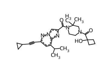 CC(C)c1cc(C#CC2CC2)nn2cc(C(=O)N3CCN(C(=O)C4(O)CCC4)CC3(C)C)nc12